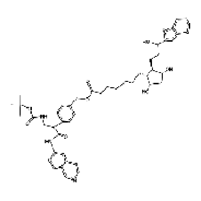 CC(C)(C)OC(=O)NCC(C(=O)Nc1ccc2cnccc2c1)c1ccc(COC(=O)CCCCCC[C@@H]2[C@@H](CCC(O)c3cc4ccccc4s3)[C@H](O)C[C@@H]2O)cc1